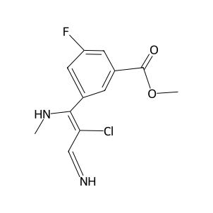 CN/C(=C(/Cl)C=N)c1cc(F)cc(C(=O)OC)c1